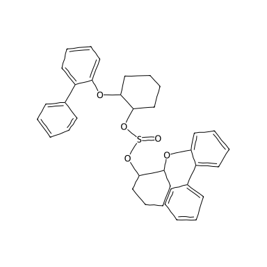 O=S(OC1CCCCC1Oc1ccccc1-c1ccccc1)OC1CCCCC1Oc1ccccc1-c1ccccc1